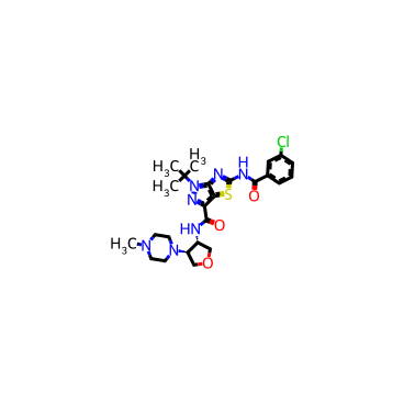 CN1CCN([C@@H]2COC[C@H]2NC(=O)c2nn(C(C)(C)C)c3nc(NC(=O)c4cccc(Cl)c4)sc23)CC1